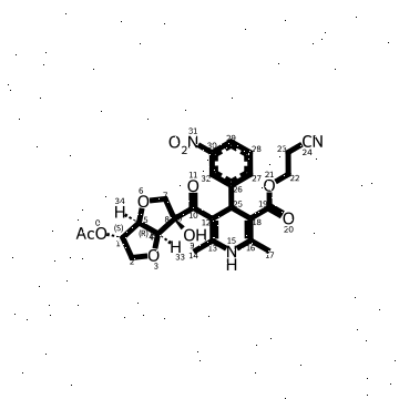 CC(=O)O[C@H]1CO[C@H]2[C@@H]1OC[C@]2(O)C(=O)C1=C(C)NC(C)=C(C(=O)OCCC#N)C1c1cccc([N+](=O)[O-])c1